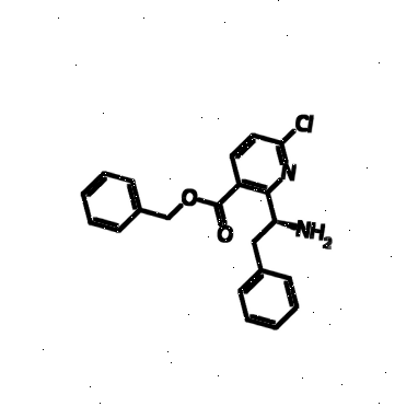 N[C@@H](Cc1ccccc1)c1nc(Cl)ccc1C(=O)OCc1ccccc1